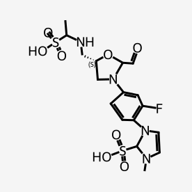 CC(NC[C@H]1CN(c2ccc(N3C=CN(C)C3S(=O)(=O)O)c(F)c2)C(C=O)O1)S(=O)(=O)O